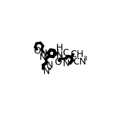 Cc1c(C#N)cnc(C(=O)Nc2ccc3c(c2)c(-c2ccncn2)nn3C2CCCCO2)c1C